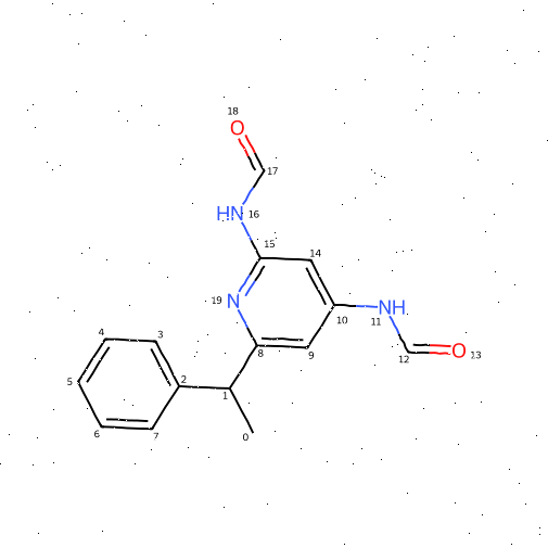 CC(c1ccccc1)c1cc(NC=O)cc(NC=O)n1